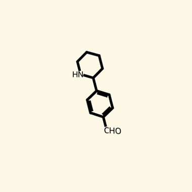 O=Cc1ccc(C2CCCCN2)cc1